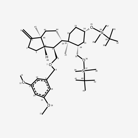 C=C1CC[C@H]2[C@H](COCc3cc(OC)cc(OC)c3)[C@@H]([C@@]3(C)CC[C@H](O[Si](C)(C)C(C)(C)C)C[C@@H]3CO[Si](C)(C)C(C)(C)C)CC[C@]12C